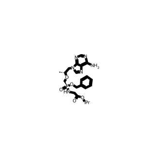 CC(C)OC(=O)CN[P@@](=O)(CO[C@H](C)Cn1cnc2c(N)ncnc21)OCc1ccccc1